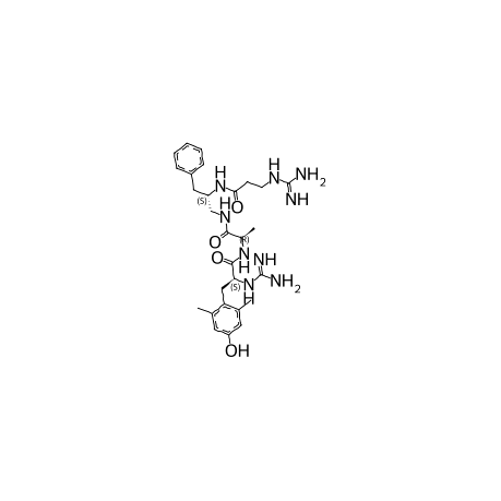 Cc1cc(O)cc(C)c1C[C@H](NC(=N)N)C(=O)N[C@H](C)C(=O)NC[C@H](Cc1ccccc1)NC(=O)CCNC(=N)N